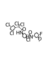 COc1cc(NC(=O)c2cc(NC(=O)C3[C@@H](c4cc(Cl)cc(Cl)c4)C3(Cl)Cl)ccc2Cl)ccc1F